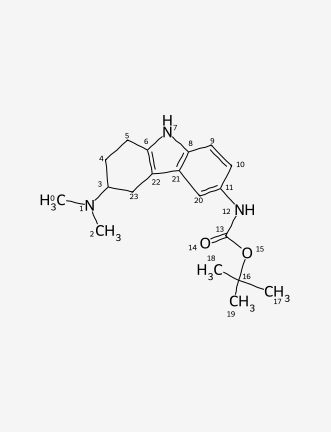 CN(C)C1CCc2[nH]c3ccc(NC(=O)OC(C)(C)C)cc3c2C1